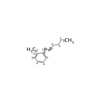 CCCC[P][P]c1ccccc1C